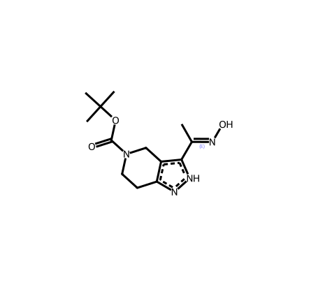 C/C(=N\O)c1[nH]nc2c1CN(C(=O)OC(C)(C)C)CC2